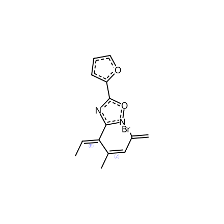 C=C(Br)/C=C(C)\C(=C/C)c1noc(-c2ccco2)n1